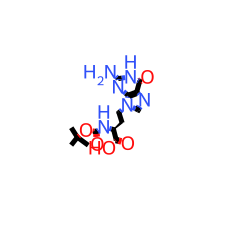 CC(C)(C)OC(=O)N[C@@H](CCn1cnc2c(=O)[nH]c(N)nc21)C(=O)O